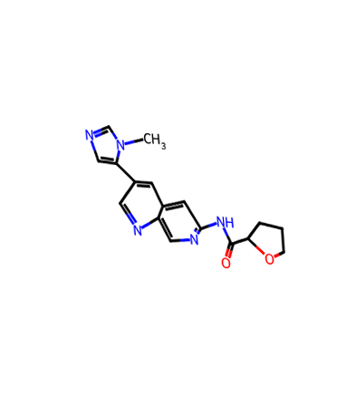 Cn1cncc1-c1cnc2cnc(NC(=O)C3CCCO3)cc2c1